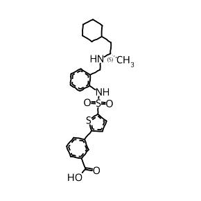 C[C@@H](CC1CCCCC1)NCc1ccccc1NS(=O)(=O)c1ccc(-c2cccc(C(=O)O)c2)s1